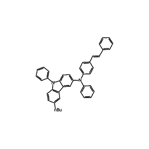 CCCCc1ccc2c(c1)c1cc(N(c3ccccc3)c3ccc(/C=C/c4ccccc4)cc3)ccc1n2-c1ccccc1